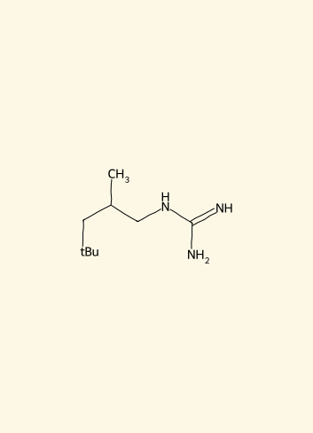 CC(CNC(=N)N)CC(C)(C)C